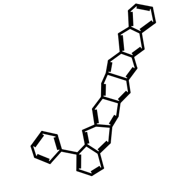 c1ccc(-c2cccc3cc4cc5cc6cc7cc8ccccc8cc7cc6cc5cc4cc23)cc1